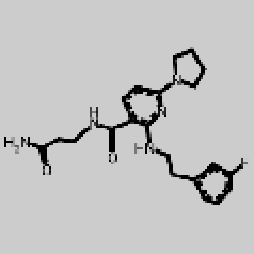 NC(=O)CCNC(=O)c1ccc(N2CCCC2)nc1NCCc1cccc(F)c1